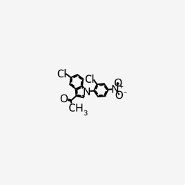 CC(=O)c1cn(-c2ccc([N+](=O)[O-])cc2Cl)c2ccc(Cl)cc12